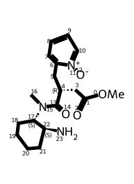 COC(=O)C[C@@H](Cc1cccc[n+]1[O-])C(=O)N(C)[C@H]1CCCC[C@@H]1N